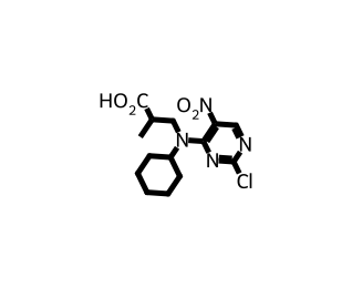 CC(CN(c1nc(Cl)ncc1[N+](=O)[O-])C1CCCCC1)C(=O)O